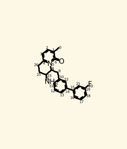 Cc1ccc2n(c1=O)C(Cc1cccc(-c3cccc(F)c3)c1)C(N)CC2